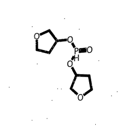 O=[PH](OC1CCOC1)OC1CCOC1